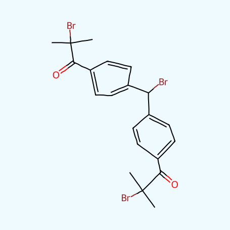 CC(C)(Br)C(=O)c1ccc(C(Br)c2ccc(C(=O)C(C)(C)Br)cc2)cc1